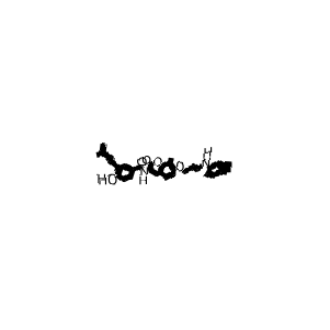 CC(C)=CCc1cc(C(=O)Nc2cc3ccc(OCCCNC4=C5C6CC5C6=CC4)c(C)c3oc2=O)ccc1O